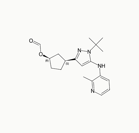 Cc1ncccc1Nc1cc([C@H]2CC[C@@H](OC=O)C2)nn1C(C)(C)C